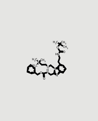 CC(C)(C)OC(=O)NCCc1cccc2nc(CNC(=O)OCc3ccccc3)n(COCC[Si](C)(C)C)c12